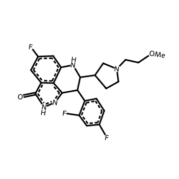 COCCN1CCC(C2Nc3cc(F)cc4c(=O)[nH]nc(c34)C2c2ccc(F)cc2F)C1